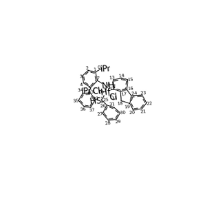 CC(C)c1cccc(C(C)C)c1[NH][Hf]([Cl])([Cl])([c]1cccc2c1Cc1ccccc1-2)[SiH](c1ccccc1)c1ccccc1